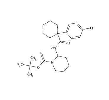 CC(C)(C)OC(=O)N1CCCCC1NC(=O)C1(c2ccc(Cl)cc2)CCCCC1